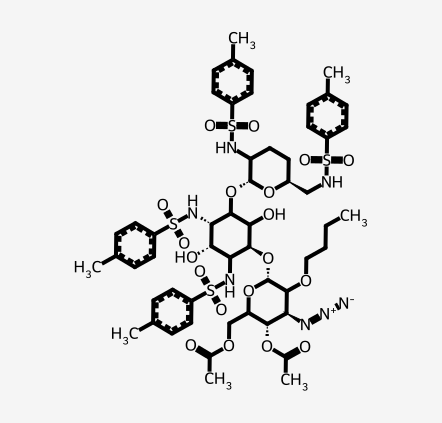 CCCCOC1[C@@H](O[C@@H]2C(O)C(O[C@H]3O[C@H](CNS(=O)(=O)c4ccc(C)cc4)CCC3NS(=O)(=O)c3ccc(C)cc3)[C@@H](NS(=O)(=O)c3ccc(C)cc3)[C@@H](O)C2NS(=O)(=O)c2ccc(C)cc2)OC(COC(C)=O)[C@@H](OC(C)=O)[C@@H]1N=[N+]=[N-]